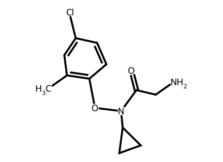 Cc1cc(Cl)ccc1ON(C(=O)CN)C1CC1